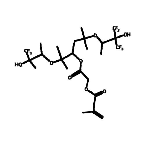 C=C(C)C(=O)OCC(=O)OC(CC(C)(C)OC(C)C(O)(C(F)(F)F)C(F)(F)F)C(C)(C)OC(C)C(C)(O)C(F)(F)F